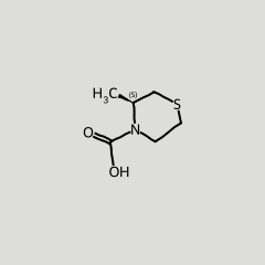 C[C@H]1CSCCN1C(=O)O